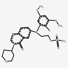 COc1cc(OC)c(F)c(N(CCOS(C)(=O)=O)c2ccc3ncn(C4CCOCC4)c(=O)c3c2)c1